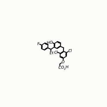 CCC(c1ccc(F)cc1)c1cc(Cc2c(Cl)cc(OCC(=O)O)cc2Cl)ccc1O